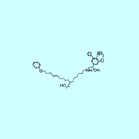 Nc1c(Cl)cc(C(O)CNCCCCCCC(CCCCCCCCCOc2ccccc2)C(=O)O)cc1Cl